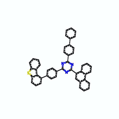 c1ccc(-c2ccc(-c3nc(-c4ccc(-c5cccc6sc7ccccc7c56)cc4)nc(-c4cc5ccccc5c5ccccc45)n3)cc2)cc1